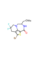 COCC1CN2CC(F)(F)Cc3c(Br)sc(c32)C(=O)N1